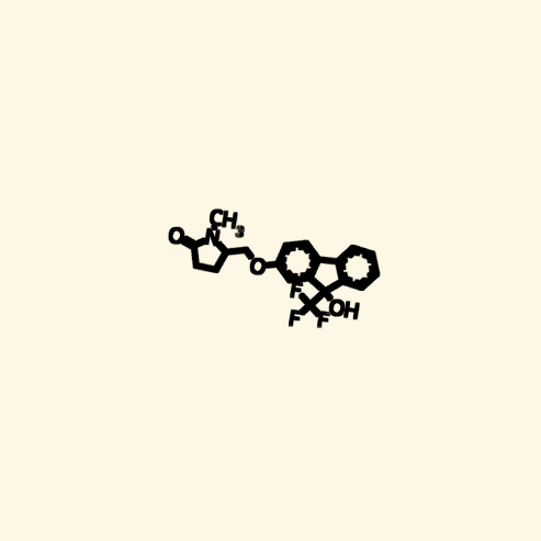 CN1C(=O)CCC1COc1ccc2c(c1)C(O)(C(F)(F)F)c1ccccc1-2